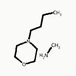 CCCCN1CCOCC1.CN